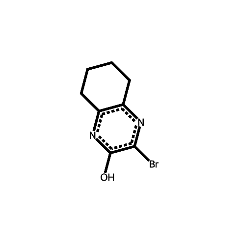 Oc1nc2c(nc1Br)CCCC2